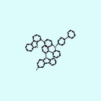 Fc1ccc2c(c1)c1ccccc1n2-c1ccccc1-c1ccccc1N(c1ccc(-c2ccccc2)cc1)c1ccc(-c2cccc3c2sc2ccccc23)cc1